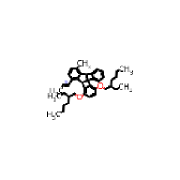 C/C=C/c1ccc(C)c2c1C1c3c(OCC(CC)CCCC)ccc(OCC(CC)CCCC)c3C13c1ccccc1C23